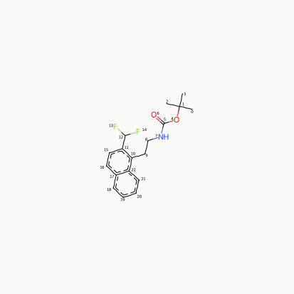 CC(C)(C)OC(=O)NCCc1c(C(F)F)ccc2ccccc12